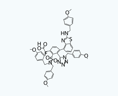 COc1ccc(CNc2nc3c(-c4ccc(C(F)C(=O)O)c(S(=O)(=O)N(Cc5ccc(OC)cc5)Cc5ccc(OC)cc5)c4-c4nnnn4Cc4ccc(OC)cc4)cccc3s2)cc1